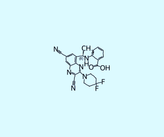 C[C@@H](Nc1ccccc1C(=O)O)c1cc(C#N)cc2nc(C#N)c(N3CCC(F)(F)CC3)nc12